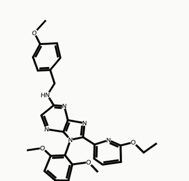 CCOc1cccc(-c2nc3nc(NCc4ccc(OC)cc4)cnc3n2-c2c(OC)cccc2OC)n1